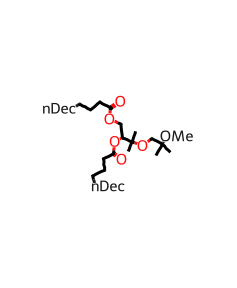 CCCCCCCCCCCCCC(=O)OCC(OC(=O)CCCCCCCCCCCCC)C(C)(C)OCC(C)(C)OC